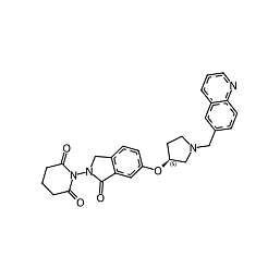 O=C1c2cc(O[C@H]3CCN(Cc4ccc5ncccc5c4)C3)ccc2CN1N1C(=O)CCCC1=O